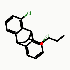 CCCCC1CC2c3cccc(Cl)c3C1c1c(Cl)cccc12